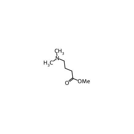 COC(=O)CCCN(C)C